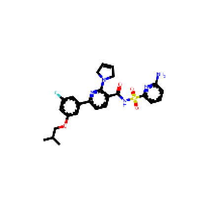 CC(C)COc1cc(F)cc(-c2ccc(C(=O)NS(=O)(=O)c3cccc(N)n3)c(N3CC=CC3)n2)c1